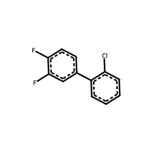 Fc1ccc(-c2ccc[c]c2Cl)cc1F